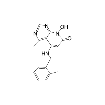 Cc1ccccc1CNc1cc(=O)n(O)c2ncnc(C)c12